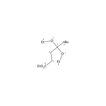 [CH2]CCCC(CCC(=O)OCC)(OCC)OCC